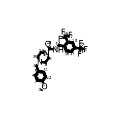 COc1ccc(CN2CCN(C(=O)NCc3ccc(C(F)(F)F)cc3C(F)(F)F)CC2)cc1